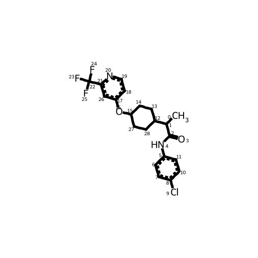 CC(C(=O)Nc1ccc(Cl)cc1)C1CCC(Oc2ccnc(C(F)(F)F)c2)CC1